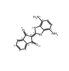 Nc1ccc(N)c2c1SC(=C1C(=O)c3ccccc3C1=O)S2